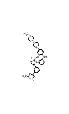 COc1cc(N2CCC(N3CCN(C)CC3)CC2)ccc1Nc1cc(N2OCC[C@@H]2c2cccc(C(=O)OC(C)C)c2)ncn1